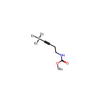 CC[Si](C#CCCNC(=O)OC(C)(C)C)(CC)CC